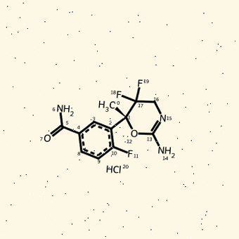 C[C@]1(c2cc(C(N)=O)ccc2F)OC(N)=NCC1(F)F.Cl